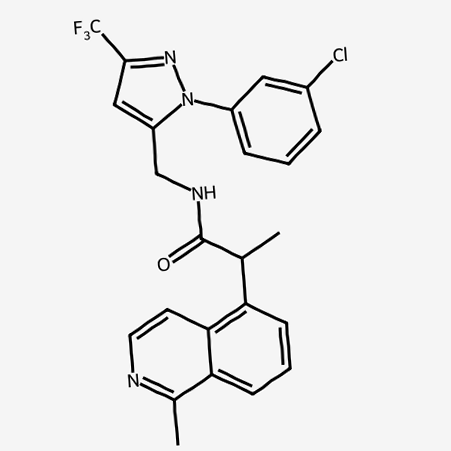 Cc1nccc2c(C(C)C(=O)NCc3cc(C(F)(F)F)nn3-c3cccc(Cl)c3)cccc12